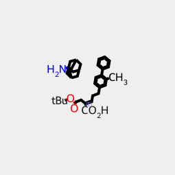 Cc1cc(CC/C=C(\CC(=O)OC(C)(C)C)C(=O)O)ccc1-c1ccccc1.NC12CC3CC(CC(C3)C1)C2